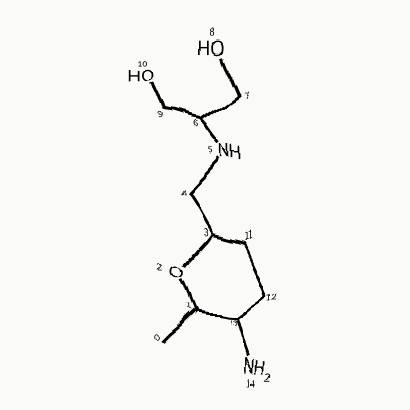 CC1OC(CNC(CO)CO)CCC1N